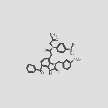 CCN(CC)c1ccc(N(CC(N)=O)C(=O)Cc2ccc(C(=O)c3ccccc3)c3[nH]c(=O)n(Cc4cccc(OC)c4)c23)cc1